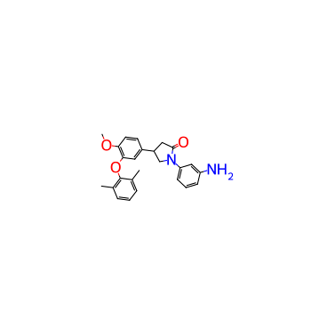 COc1ccc(C2CC(=O)N(c3cccc(N)c3)C2)cc1Oc1c(C)cccc1C